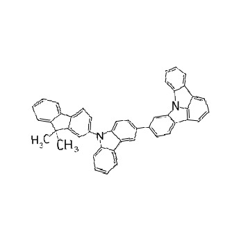 CC1(C)c2ccccc2-c2ccc(-n3c4ccccc4c4cc(-c5ccc6c7cccc8c9ccccc9n(c6c5)c87)ccc43)cc21